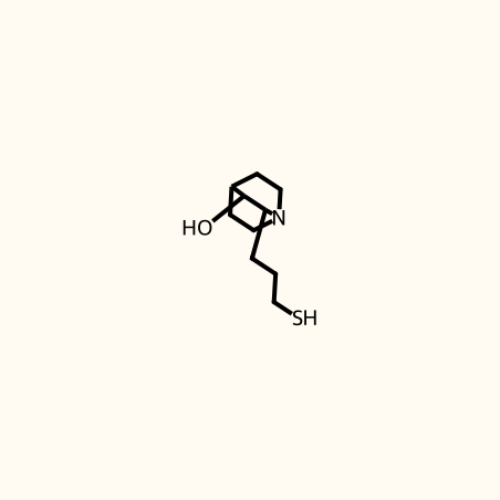 OC1C2CCN(CC2)C1CCCS